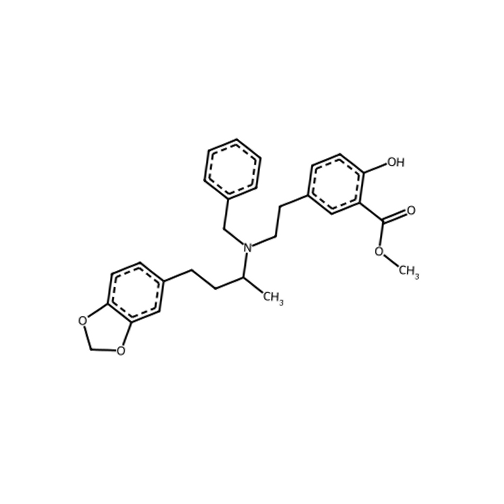 COC(=O)c1cc(CCN(Cc2ccccc2)C(C)CCc2ccc3c(c2)OCO3)ccc1O